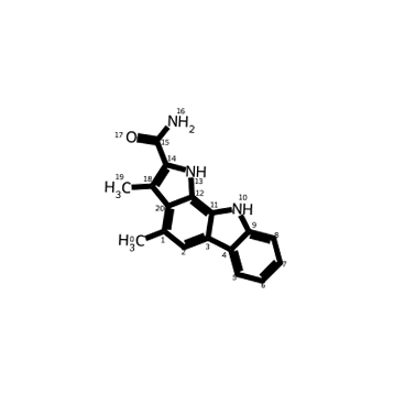 Cc1cc2c3ccccc3[nH]c2c2[nH]c(C(N)=O)c(C)c12